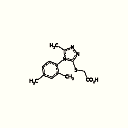 Cc1ccc(-n2c(C)nnc2SCC(=O)O)c(C)c1